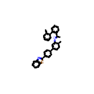 C/C(=N\c1cc(-c2ccc(-c3nc4ccccc4s3)cc2)ccc1C)c1ccccc1-c1ccccc1C